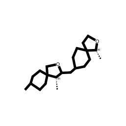 CC1CCC2(CC1)COC(CC1CCC3(CCO[C@@H]3C)CC1)[C@@H]2C